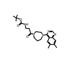 Cc1cc2ncnc(N3CCCN(C(=O)CCNC(=O)OC(C)(C)C)CC3)c2cc1C